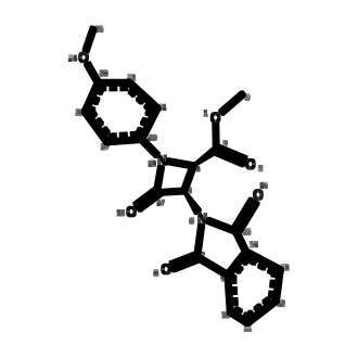 COC(=O)[C@H]1[C@@H](N2C(=O)c3ccccc3C2=O)C(=O)N1c1ccc(OC)cc1